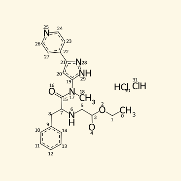 CCOC(=O)CNC(Cc1ccccc1)C(=O)N(C)c1cc(-c2ccncc2)n[nH]1.Cl.Cl